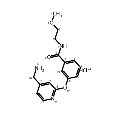 COCCNC(=O)c1cccc(Oc2cc(CN)ccn2)c1.Cl